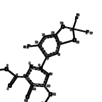 COC(=O)c1nn(-c2cc3c(cc2F)OC(F)(F)O3)cc(OC)c1=O